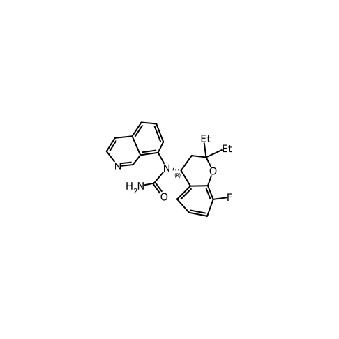 CCC1(CC)C[C@@H](N(C(N)=O)c2cccc3ccncc23)c2cccc(F)c2O1